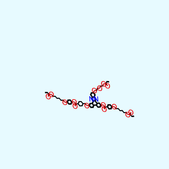 C=CC(=O)OCCCCCCOc1ccc(OC(=O)C2CCC(COc3ccc4c5ccc(OC(=O)c6ccc(OCCCCCCOC(=O)C=C)cc6)cc5c5nc6cc(OCCOCCOC(=O)C=C)ccc6nc5c4c3)CC2)cc1